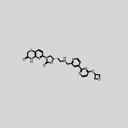 O=C1CSc2ccc(N3C[C@H](CCNCc4cc(-c5nccc(OC6COC6)n5)ccn4)OC3=O)nc2N1